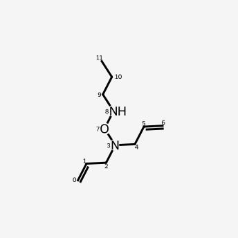 C=CCN(CC=C)ONCCC